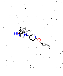 CCOc1ccc(N2CC3NCC[C@@H]2C(C)[C@H]3C)cn1